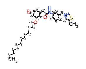 CCCCCCCCCCCCCCOc1cccc(CC(=O)Nc2cccc(C[n+]3csc(C)c3)c2)c1.[Br-]